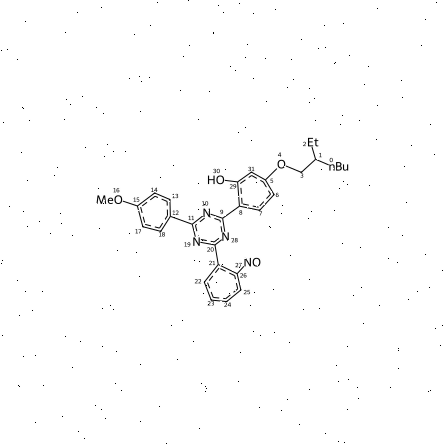 CCCCC(CC)COc1ccc(-c2nc(-c3ccc(OC)cc3)nc(-c3ccccc3N=O)n2)c(O)c1